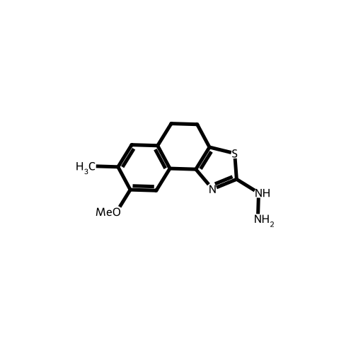 COc1cc2c(cc1C)CCc1sc(NN)nc1-2